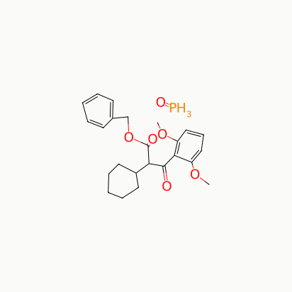 COc1cccc(OC)c1C(=O)C(C(=O)OCc1ccccc1)C1CCCCC1.O=[PH3]